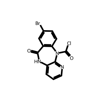 O=C1Nc2cccnc2N(C(=O)Cl)c2ccc(Br)cc21